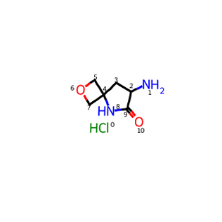 Cl.NC1CC2(COC2)NC1=O